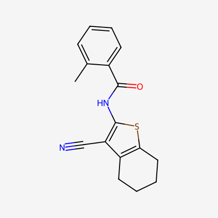 Cc1ccccc1C(=O)Nc1sc2c(c1C#N)CCCC2